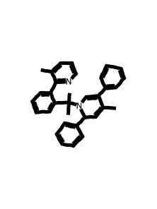 CC1=CC(c2ccccc2)N(C(C)(C)c2ccccc2-c2ncccc2C)C=C1c1ccccc1